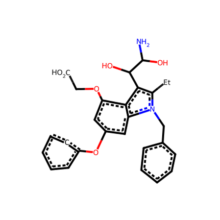 CCc1c(C(O)C(N)O)c2c(OCC(=O)O)cc(Oc3ccccc3)cc2n1Cc1ccccc1